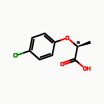 C[C@H](Oc1ccc(Cl)cc1)C(=O)O